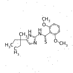 CCC(C)(CC)c1cnc(NC(=S)c2c(OC)cccc2OC)[nH]1